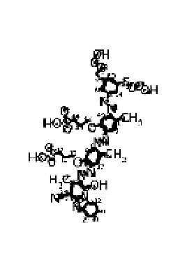 Cc1cc(N=Nc2cc(OCCCS(=O)(=O)O)c(N=Nc3c(C)c(C#N)c4nc5ccccc5n4c3O)cc2C)c(OCCCS(=O)(=O)O)cc1N=Nc1cc(SOOO)cc(SOOO)c1